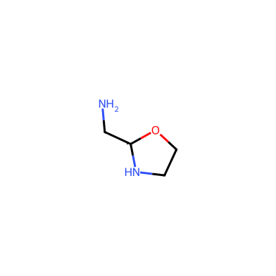 NC[C]1NCCO1